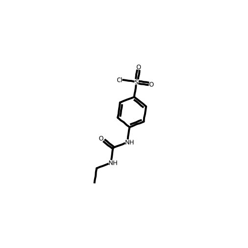 CCNC(=O)Nc1ccc(S(=O)(=O)Cl)cc1